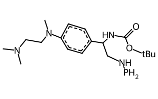 CN(C)CCN(C)c1ccc(C(CNP)NC(=O)OC(C)(C)C)cc1